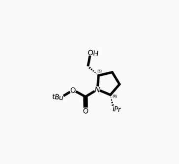 CC(C)[C@H]1CC[C@@H](CO)N1C(=O)OC(C)(C)C